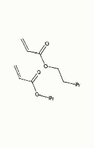 C=CC(=O)OC(C)C.C=CC(=O)OCCC(C)C